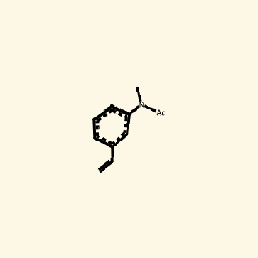 C=Cc1cccc(N(C)C(C)=O)c1